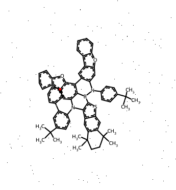 CC(C)(C)c1ccc(N2B3c4sc5cc6c(cc5c4N(c4ccc(C(C)(C)C)cc4-c4ccccc4)c4cc5c(oc7ccccc75)c(c43)-c3cc4c(cc32)oc2ccccc24)C(C)(C)CCC6(C)C)cc1